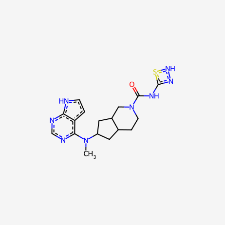 CN(c1ncnc2[nH]ccc12)C1CC2CCN(C(=O)Nc3n[nH]s3)CC2C1